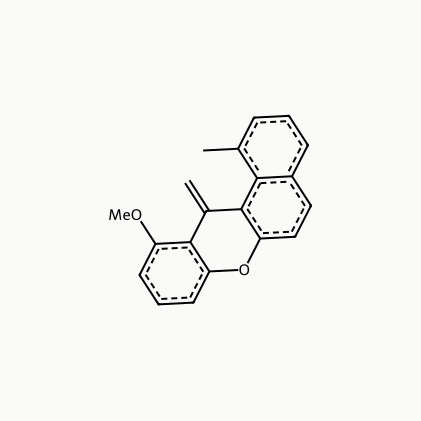 C=C1c2c(OC)cccc2Oc2ccc3cccc(C)c3c21